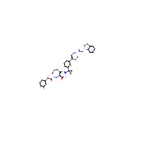 O=C(CN1CCc2ccccc21)N1CC=C(c2cccc(C3(c4nc5c(c(=O)[nH]4)CN(C(=O)[C@H](O)c4cccc(C(F)(F)F)c4)CCC5)CC3)c2)CC1